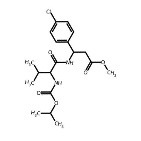 COC(=O)CC(NC(=O)C(NC(=O)OC(C)C)C(C)C)c1ccc(Cl)cc1